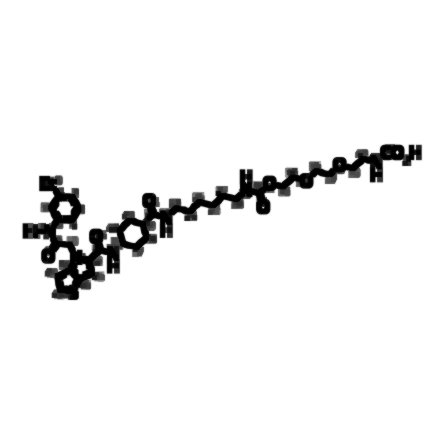 CCc1cccc(N(CC)C(=O)Cn2c(C(=O)N[C@H]3CC[C@H](C(=O)NCCCCCCNC(=O)OCCOCCOCCNC(=O)O)CC3)cc3sccc32)c1